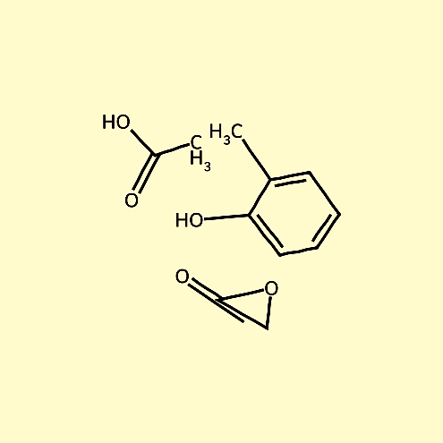 CC(=O)O.Cc1ccccc1O.O=C1CO1